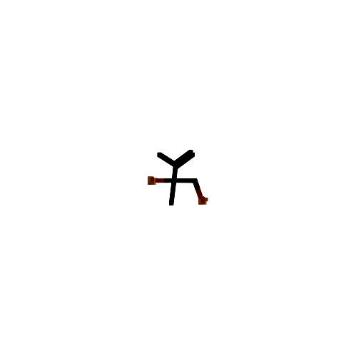 C=C(C)C(C)(Br)CBr